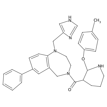 Cc1ccc(OC2NCCCC2C(=O)N2CCN(Cc3c[nH]cn3)c3ccc(-c4ccccc4)cc3C2)cc1